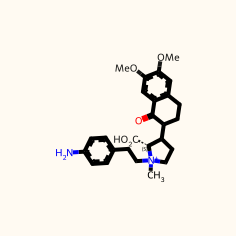 COc1cc2c(cc1OC)C(=O)C(C1CC[N+](C)(CCc3ccc(N)cc3)[C@@H]1C(=O)O)CC2